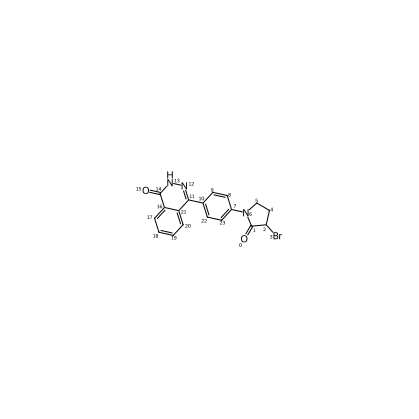 O=C1C(Br)CCN1c1ccc(-c2n[nH]c(=O)c3ccccc23)cc1